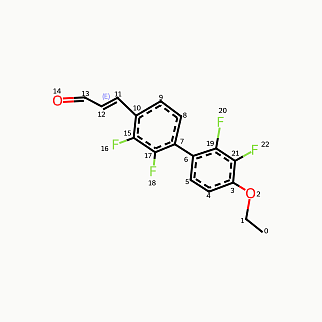 CCOc1ccc(-c2ccc(/C=C/C=O)c(F)c2F)c(F)c1F